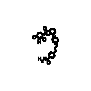 NC(=O)c1ccc(CCCN2CCN(c3cccc4c3CN(C3CCC(=O)NC3=O)C4=O)CC2)cc1